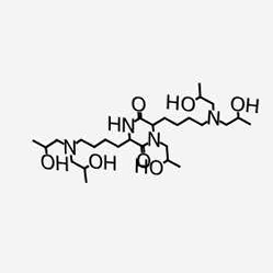 CC(O)CN(CCCCC1NC(=O)C(CCCCN(CC(C)O)CC(C)O)N(CC(C)O)C1=O)CC(C)O